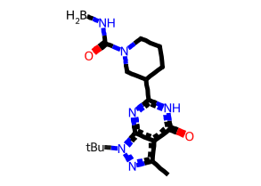 BNC(=O)N1CCCC(c2nc3c(c(C)nn3C(C)(C)C)c(=O)[nH]2)C1